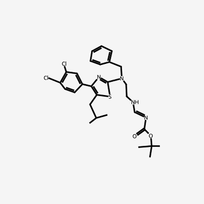 CC(C)Cc1sc(N(CCNC=NC(=O)OC(C)(C)C)Cc2ccccc2)nc1-c1ccc(Cl)c(Cl)c1